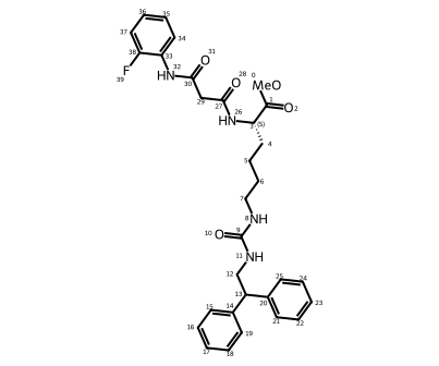 COC(=O)[C@H](CCCCNC(=O)NCC(c1ccccc1)c1ccccc1)NC(=O)CC(=O)Nc1ccccc1F